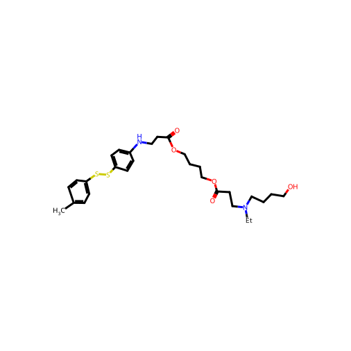 CCN(CCCCO)CCC(=O)OCCCCOC(=O)CCNc1ccc(SSc2ccc(C)cc2)cc1